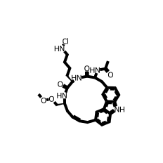 COOC[C@@H]1CC=CCc2ccc3[nH]c4ccc(cc4c3c2)CC(NC(C)=O)C(=O)N[C@H](CCCCNCl)C(=O)N1